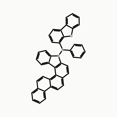 c1ccc(N(c2cccc3c2oc2ccccc23)n2c3ccccc3c3c4c(ccc5c6ccccc6ccc54)ccc32)cc1